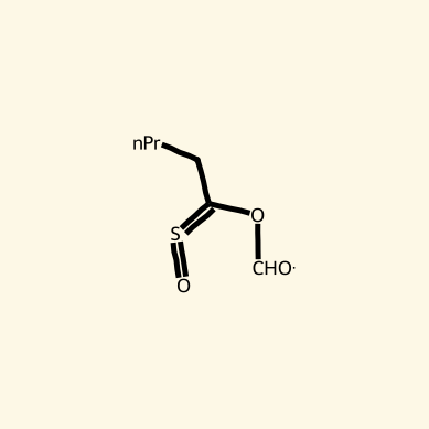 CCCCC(O[C]=O)=S=O